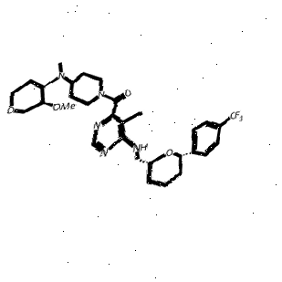 CO[C@H]1COCC[C@H]1N(C)C1CCN(C(=O)c2ncnc(NC[C@H]3CCC[C@@H](c4ccc(C(F)(F)F)cc4)O3)c2C)CC1